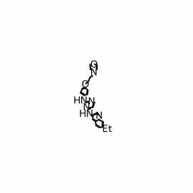 CCc1ccc2cc(Nc3ccnc(Nc4ccc(OCCCN5CCOCC5)cc4)n3)cnc2c1